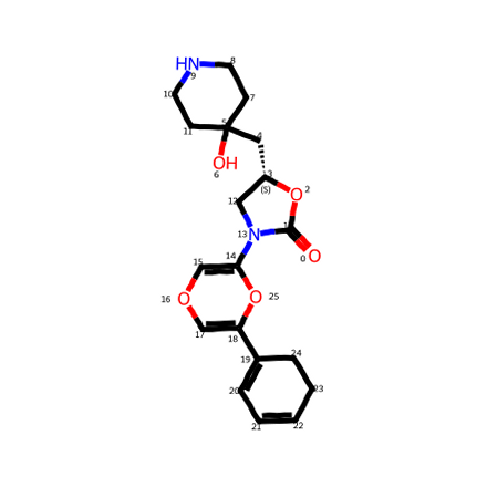 O=C1O[C@@H](CC2(O)CCNCC2)CN1C1=COC=C(C2=CC=CCC2)O1